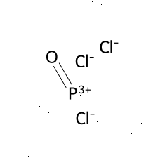 O=[P+3].[Cl-].[Cl-].[Cl-]